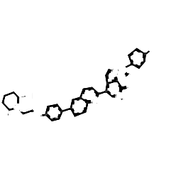 Cc1ccc(S(=O)(=O)n2ccc3c(-c4ccc5cc(-c6ccc(OCCN7[C@H](C)CCC[C@@H]7C)cc6)ccc5n4)cn(C)c(=O)c32)cc1